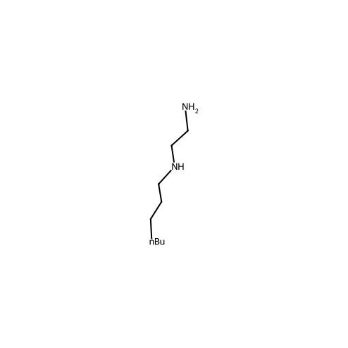 [CH2]CCCCCCNCCN